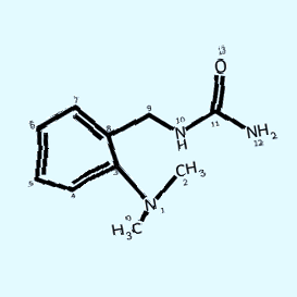 CN(C)c1ccccc1CNC(N)=O